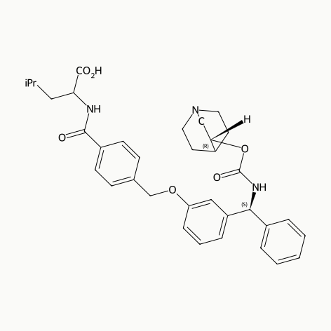 CC(C)CC(NC(=O)c1ccc(COc2cccc([C@@H](NC(=O)O[C@H]3CN4CCC3CC4)c3ccccc3)c2)cc1)C(=O)O